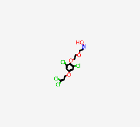 O/N=C\COCCOc1c(Cl)cc(OCC=C(Cl)Cl)cc1Cl